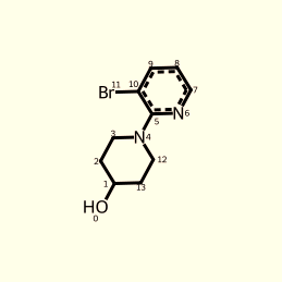 OC1CCN(c2ncccc2Br)CC1